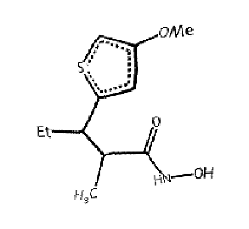 CCC(c1cc(OC)cs1)C(C)C(=O)NO